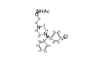 CC(=O)NOCCN1CCN([C@H](c2ccccc2)c2ccc(Cl)cc2)CC1